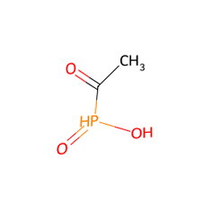 CC(=O)[PH](=O)O